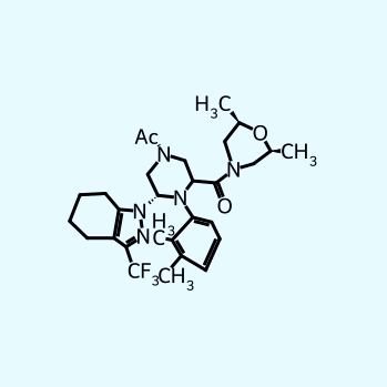 CC(=O)N1CC(C(=O)N2C[C@@H](C)O[C@@H](C)C2)N(c2cccc(C)c2C)[C@H](n2nc(C(F)(F)F)c3c2CCCC3)C1